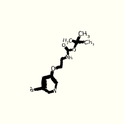 CC(C)(C)OC(=O)NCCOc1cncc(Br)c1